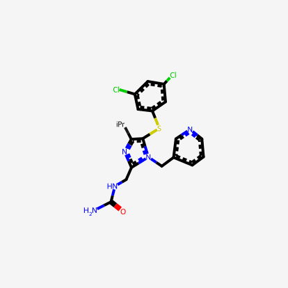 CC(C)c1nc(CNC(N)=O)n(Cc2cccnc2)c1Sc1cc(Cl)cc(Cl)c1